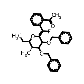 CC[C@H]1OC(=C(F)c2ccccc2C(C)=O)C(OCc2ccccc2)C(OCc2ccccc2)[C@@H]1C